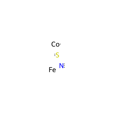 [Co].[Fe].[N].[S]